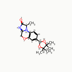 C[C@@H]1C(=O)N=C2COc3cc(B4OC(C)(C)C(C)(C)O4)ccc3N21